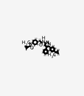 CN(C(=O)C1CC1)[C@H]1CC[C@H](CC(=O)Nc2cc(-c3ccccc3)c(-c3ccc(C4(C)CC4)cc3)nn2)CC1